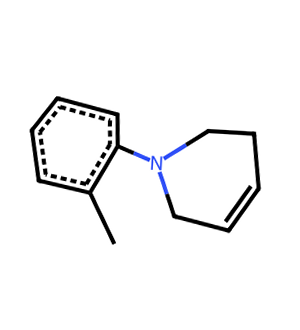 Cc1ccccc1N1CC=CCC1